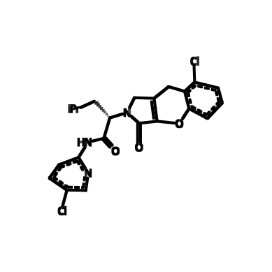 CC(C)C[C@@H](C(=O)Nc1ccc(Cl)cn1)N1CC2=C(Oc3cccc(Cl)c3C2)C1=O